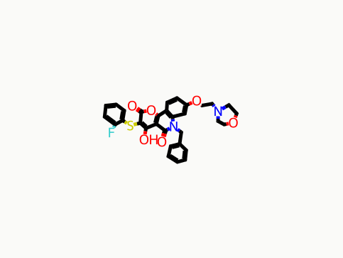 O=c1oc2c(c(O)c1Sc1ccccc1F)c(=O)n(Cc1ccccc1)c1cc(OCCN3CCOCC3)ccc21